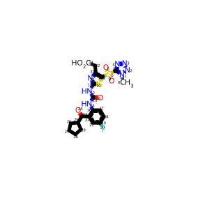 Cn1nnnc1S(=O)(=O)c1sc(NC(=O)Nc2ccc(F)cc2C(=O)C2CCCC2)nc1CC(=O)O